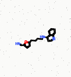 N=Cc1ccc(CCCCNc2ccnc3ccccc23)o1